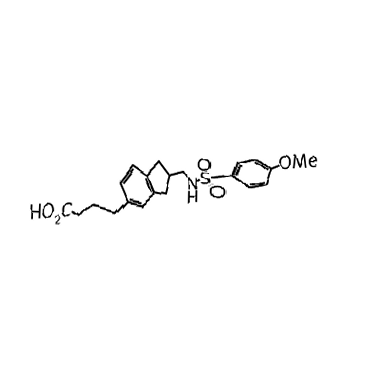 COc1ccc(S(=O)(=O)NCC2Cc3ccc(CCCC(=O)O)cc3C2)cc1